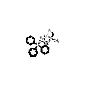 CCC(C)C[Si](C)(C)O[Si](C)(C)O[Si](c1ccccc1)(c1ccccc1)c1ccccc1